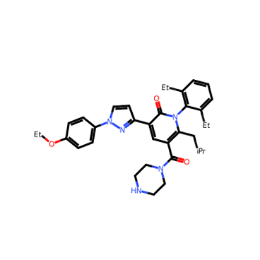 CCOc1ccc(-n2ccc(-c3cc(C(=O)N4CCNCC4)c(CC(C)C)n(-c4c(CC)cccc4CC)c3=O)n2)cc1